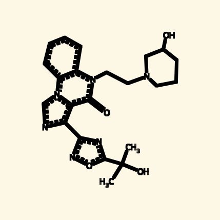 CC(C)(O)c1nc(-c2ncn3c2c(=O)n(CCN2CCCC(O)C2)c2ccccc23)no1